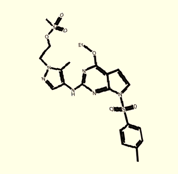 CCOc1nc(Nc2cnn(CCOS(C)(=O)=O)c2C)nc2c1ccn2S(=O)(=O)c1ccc(C)cc1